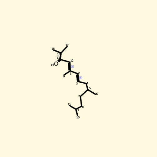 CC(/C=C/CC(C)CCC(C)C)=C\C(=O)C(C)C